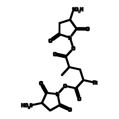 CCC(CC(C)C(=O)ON1C(=O)CC(S(=O)(=O)O)C1=O)C(=O)ON1C(=O)CC(S(=O)(=O)O)C1=O